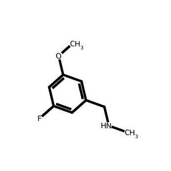 CNCc1cc(F)cc(OC)c1